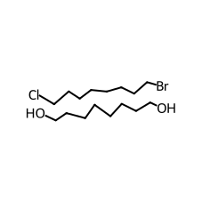 ClCCCCCCCCBr.OCCCCCCCCO